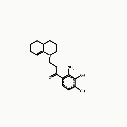 O=C(CCN1CCCC2CCCC=C21)c1ccc(O)c(O)c1[N+](=O)[O-]